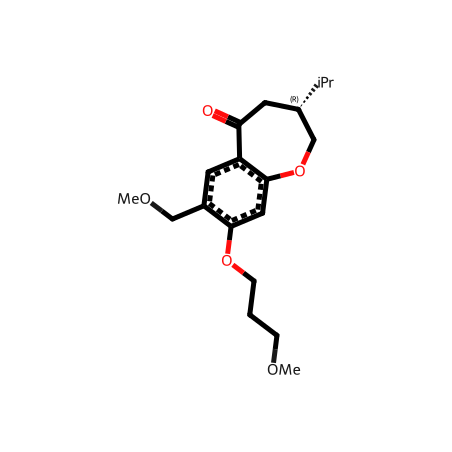 COCCCOc1cc2c(cc1COC)C(=O)C[C@H](C(C)C)CO2